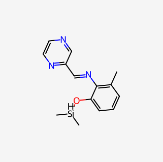 Cc1cccc(O[SiH](C)C)c1N=Cc1cnccn1